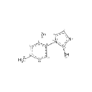 Cc1ccc(-n2ccnc2S)cc1.[Zn]